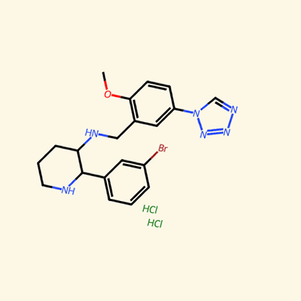 COc1ccc(-n2cnnn2)cc1CNC1CCCNC1c1cccc(Br)c1.Cl.Cl